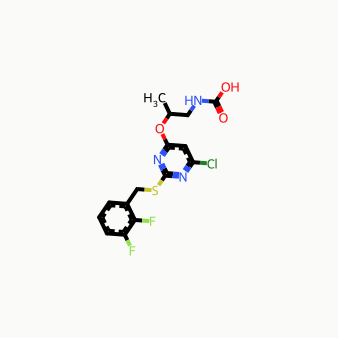 CC(CNC(=O)O)Oc1cc(Cl)nc(SCc2cccc(F)c2F)n1